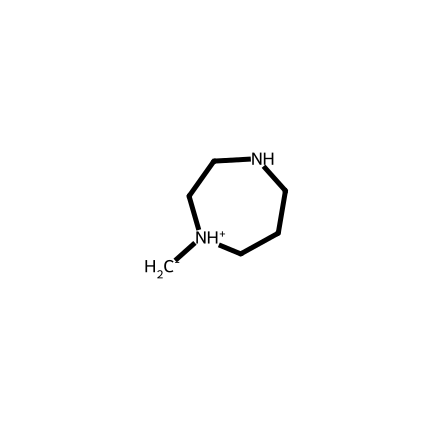 [CH2-][NH+]1CCCNCC1